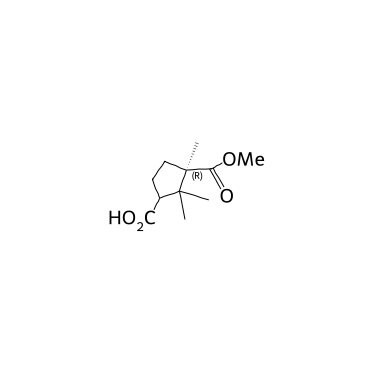 COC(=O)[C@]1(C)CCC(C(=O)O)C1(C)C